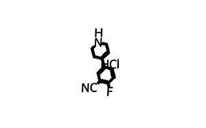 Cl.N#Cc1cc(C2=CCNCC2)ccc1F